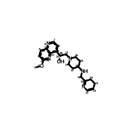 COc1ccc2nccc([C@@H](O)CN3CCC(NCC4=NC=CCC4)CC3)c2n1